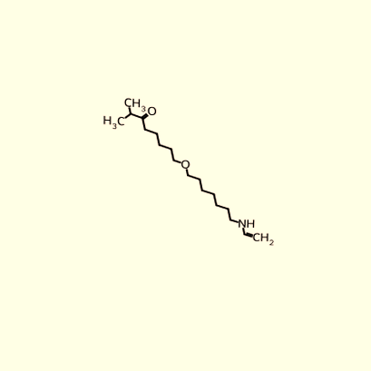 C=CNCCCCCCCOCCCCCC(=O)C(C)C